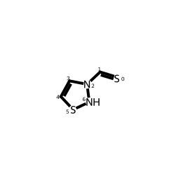 S=CN1C=CSN1